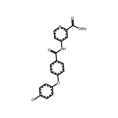 COC(=O)c1cc(NC(=O)c2ccc(Oc3ccc(Cl)cc3)cc2)ccn1